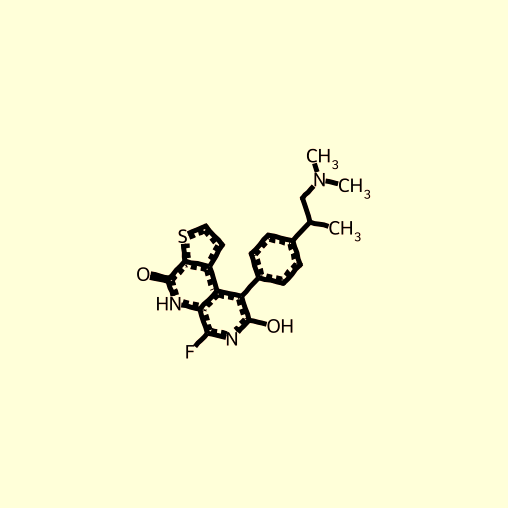 CC(CN(C)C)c1ccc(-c2c(O)nc(F)c3[nH]c(=O)c4sccc4c23)cc1